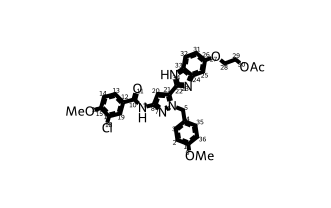 COc1ccc(Cn2nc(NC(=O)c3ccc(OC)c(Cl)c3)cc2-c2nc3cc(OCCOC(C)=O)ccc3[nH]2)cc1